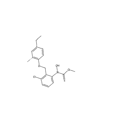 CCc1ccc(OCc2c(Cl)cccc2N(O)C(=S)OC)c(C)c1